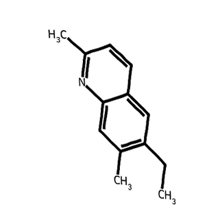 CCc1cc2ccc(C)nc2cc1C